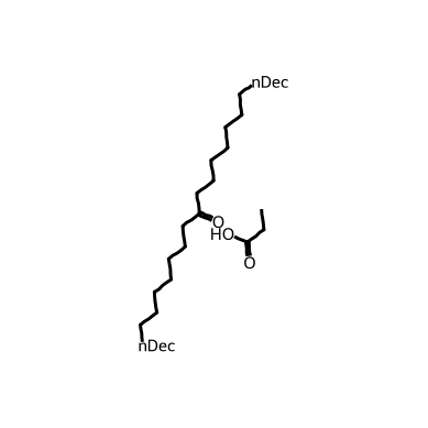 CCC(=O)O.CCCCCCCCCCCCCCCCCC(=O)CCCCCCCCCCCCCCCCC